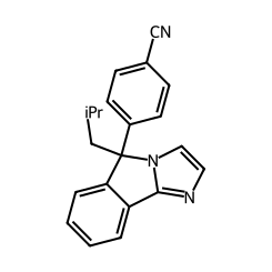 CC(C)CC1(c2ccc(C#N)cc2)c2ccccc2-c2nccn21